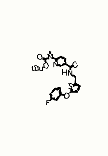 CN(C(=O)OC(C)(C)C)c1ccc(C(=O)NCc2ccc(Oc3cccc(F)c3)s2)cn1